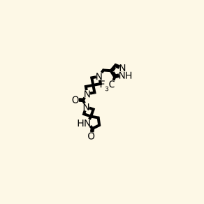 O=C1CCC2(CN(C(=O)N3CC4(CN(Cc5cn[nH]c5C(F)(F)F)C4)C3)C2)N1